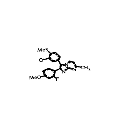 COc1ccc(-c2nc3nc(C)ccn3c2-c2ccc(SC)c(Cl)c2)c(F)c1